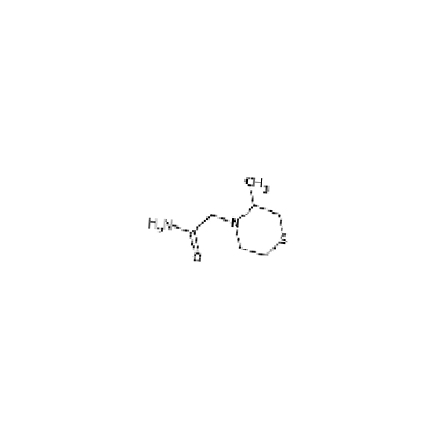 CC1CSCCN1CC(N)=O